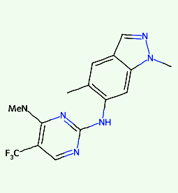 CNc1nc(Nc2cc3c(cnn3C)cc2C)ncc1C(F)(F)F